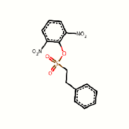 O=[N+]([O-])c1cccc([N+](=O)[O-])c1OS(=O)(=O)CCc1ccccc1